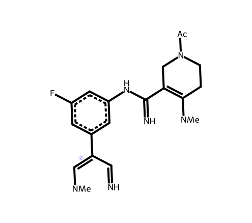 CN/C=C(\C=N)c1cc(F)cc(NC(=N)C2=C(NC)CCN(C(C)=O)C2)c1